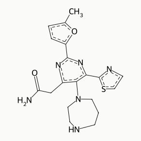 Cc1ccc(-c2nc(CC(N)=O)c(N3CCCNCC3)c(-c3nccs3)n2)o1